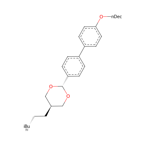 CCCCCCCCCCOc1ccc(-c2ccc([C@H]3OC[C@H](CC[C@@H](C)CC)CO3)cc2)cc1